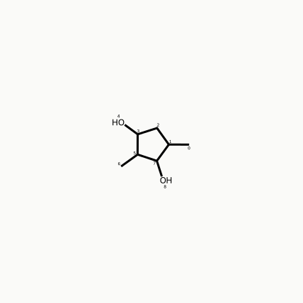 CC1CC(O)C(C)C1O